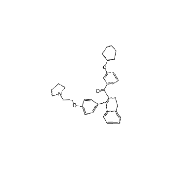 O=C(C1=C(c2ccc(OCCN3CCCC3)cc2)c2ccccc2CC1)c1cccc(OC2CCCCC2)c1